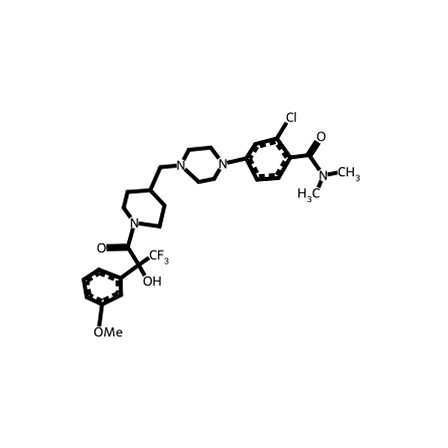 COc1cccc(C(O)(C(=O)N2CCC(CN3CCN(c4ccc(C(=O)N(C)C)c(Cl)c4)CC3)CC2)C(F)(F)F)c1